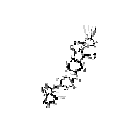 O=C1CCN(N2C(=O)c3ccc(CN4CCC(c5c[nH]c6ncccc56)CC4)cc3C2=O)C(=O)N1